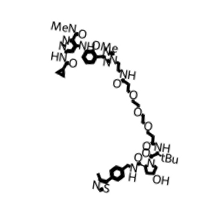 CNC(=O)c1nnc(NC(=O)C2CC2)cc1Nc1cccc(-c2ncn(CCNC(=O)CCOCCOCCOCCC(=O)N[C@H](C(=O)N3C[C@H](O)C[C@H]3C(=O)NCc3ccc(-c4scnc4C)cc3)C(C)(C)C)n2)c1OC